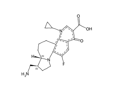 NC[C@@H]1CCN2c3c(F)cc4c(=O)c(C(=O)O)cn(C5CC5)c4c3CCC[C@@H]12